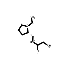 CCN1CCC[C@H]1CNC(C)CO